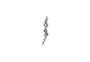 CCCCCCCCc1ccc(-c2ccc(CC[C@H]3CC[C@H](CCCCC)CC3)cc2)nc1